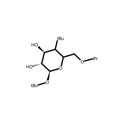 CC(C)OCC1O[C@@H](OC(C)(C)C)[C@H](O)[C@@H](O)C1C(C)(C)C